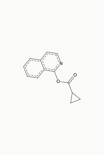 O=C(Oc1nccc2ccccc12)C1CC1